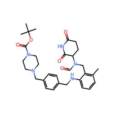 Cc1cccc(NCc2ccc(CN3CCN(C(=O)OC(C)(C)C)CC3)cc2)c1CN(C=O)C1CCC(=O)NC1=O